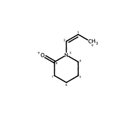 C/C=C\N1CCCCC1=O